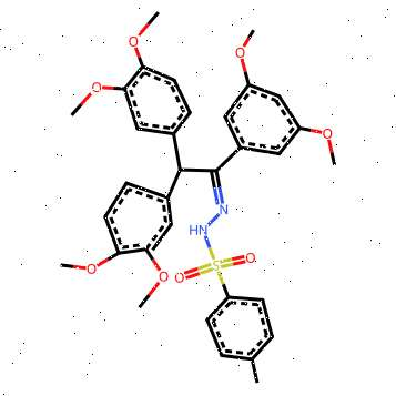 COc1cc(OC)cc(C(=NNS(=O)(=O)c2ccc(C)cc2)C(c2ccc(OC)c(OC)c2)c2ccc(OC)c(OC)c2)c1